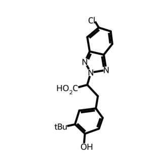 CC(C)(C)c1cc(CC(C(=O)O)n2nc3ccc(Cl)cc3n2)ccc1O